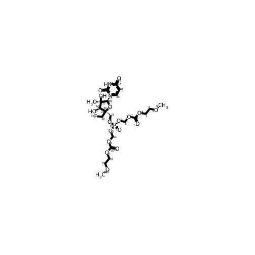 COCCOC(=O)OCOP(=O)(OCOC(=O)OCCOC)OC[C@@]1(CF)O[C@@H](n2ccc(=O)[nH]c2=O)[C@](C)(O)[C@@H]1O